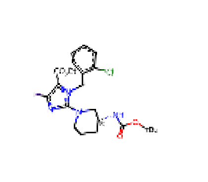 CCOC(=O)c1c(I)nc(N2CCC[C@@H](NC(=O)OC(C)(C)C)C2)n1Cc1ccccc1Cl